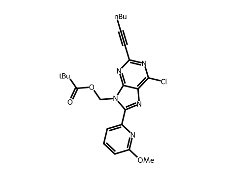 CCCCC#Cc1nc(Cl)c2nc(-c3cccc(OC)n3)n(COC(=O)C(C)(C)C)c2n1